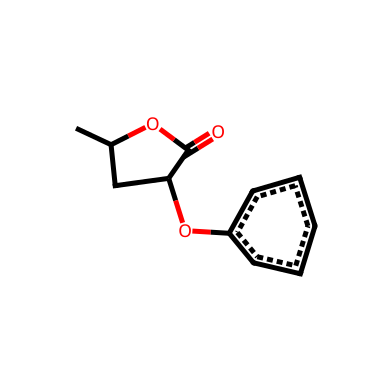 CC1CC(Oc2ccccc2)C(=O)O1